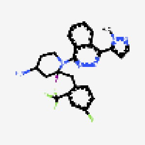 Cn1nccc1-c1nnc(N2CCC(N)CC2(I)Cc2ccc(F)cc2C(F)(F)F)c2ccccc12